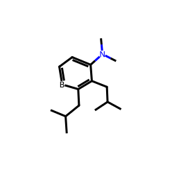 CC(C)Cc1bccc(N(C)C)c1CC(C)C